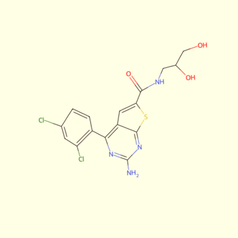 Nc1nc(-c2ccc(Cl)cc2Cl)c2cc(C(=O)NCC(O)CO)sc2n1